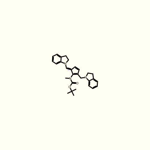 CN(C(=O)OC(C)(C)C)C1=C(CN2CCc3ccccc32)C=C/C1=C\N1CCc2ccccc21